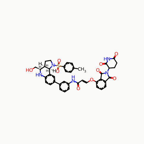 Cc1ccc(S(=O)(=O)N2CC[C@@H]3[C@H](CO)Nc4ccc(-c5cccc(NC(=O)C=COc6cccc7c6C(=O)N(C6CCC(=O)NC6=O)C7=O)c5)cc4[C@@H]32)cc1